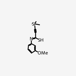 COc1cccc(N=C(S)C#C[Si](C)(C)C)c1